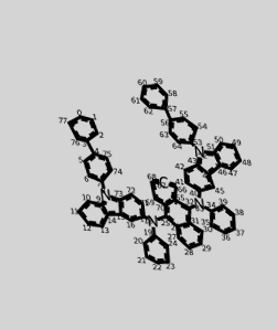 c1ccc(-c2ccc(-n3c4ccccc4c4cc(N(c5ccccc5)c5c6ccccc6c(N(c6ccccc6)c6ccc7c(c6)c6ccccc6n7-c6ccc(-c7ccccc7)cc6)c6ccccc56)ccc43)cc2)cc1